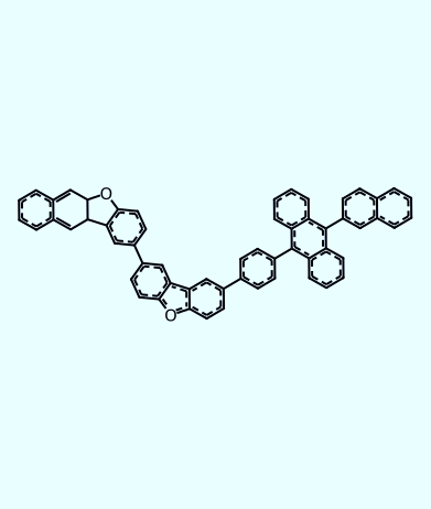 C1=c2ccccc2=CC2c3cc(-c4ccc5oc6ccc(-c7ccc(-c8c9ccccc9c(-c9ccc%10ccccc%10c9)c9ccccc89)cc7)cc6c5c4)ccc3OC12